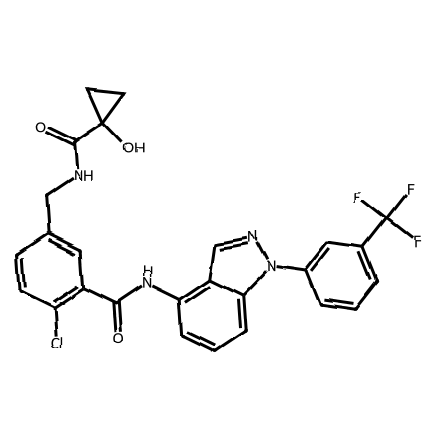 O=C(Nc1cccc2c1cnn2-c1cccc(C(F)(F)F)c1)c1cc(CNC(=O)C2(O)CC2)ccc1Cl